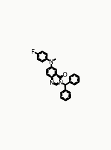 CN(c1ccc(F)cc1)c1ccc2ncn(C(c3ccccc3)c3ccccc3)c(=O)c2c1